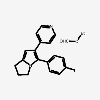 CCOC=O.Fc1ccc(-c2c(-c3ccncc3)cc3n2CCC3)cc1